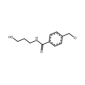 O=C(NCCCO)c1ccc(CCl)cc1